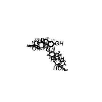 C#C[C@]1(O)CC[C@H]2[C@@H]3CCc4cc(Oc5cc(O)cc6c5[C@H]5CCC7(C)[C@@H](CC[C@@]7(O)C#C)[C@@H]5CC6)ccc4[C@H]3CCC21C